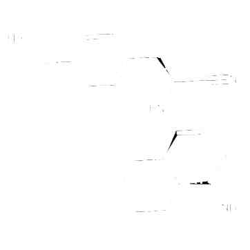 COc1ccc(C[C@@H](C#N)NC(=O)[C@@H]2CCCC[C@@H]2C(N)=O)cc1